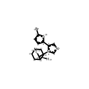 Brc1ccc(-c2cncn2[C@H]2CN3CCC2CC3)s1